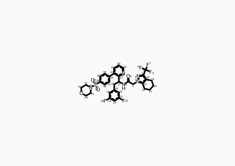 O=C(Cn1nc(C(F)(F)F)c2c1CCCC2)NC(Cc1cc(F)cc(F)c1)c1ncccc1-c1ccc(S(=O)(=O)N2CCOCC2)cc1